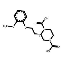 COc1ccccc1OCC[C@@H]1CN(C(=O)O)CCN1C(=O)O